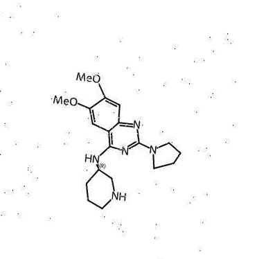 COc1cc2nc(N3CCCC3)nc(N[C@@H]3CCCNC3)c2cc1OC